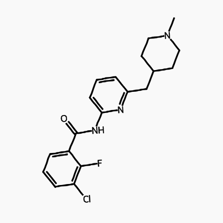 CN1CCC(Cc2cccc(NC(=O)c3cccc(Cl)c3F)n2)CC1